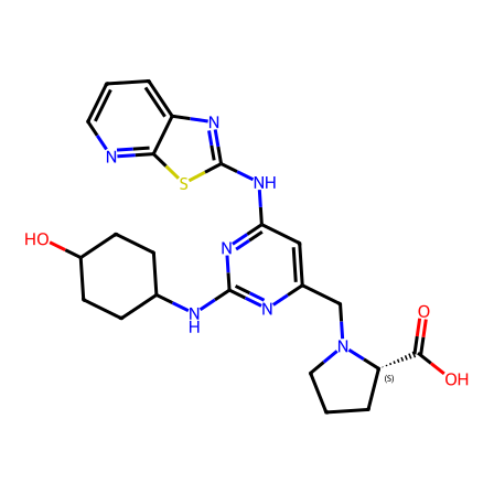 O=C(O)[C@@H]1CCCN1Cc1cc(Nc2nc3cccnc3s2)nc(NC2CCC(O)CC2)n1